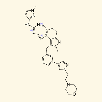 Cn1ccc(NC2=C/C=C/C3=C(/C=N\2)CCc2nn(C)c(Cc4cccc(-c5cnn(CCN6CCOCC6)c5)c4)c23)n1